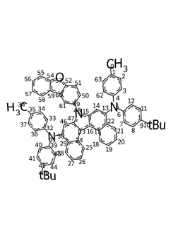 Cc1ccc(N(c2ccc(C(C)(C)C)cc2)c2cc3c(c4ccccc24)c2c4ccccc4c(N(c4ccc(C)cc4)c4ccc(C(C)(C)C)cc4)cc2n3-c2ccc3oc4ccccc4c3c2)cc1